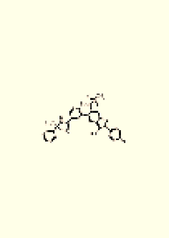 CCN(c1cn2nc(-c3ccc(F)cc3)c(C=O)c2cc1-c1cccc(C(=O)NC(C)(C)c2ccccc2)c1)S(C)(=O)=O